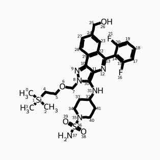 C[Si](C)(C)CCOCn1nc2c(nc(-c3c(F)cccc3F)c3cc(CO)ccc32)c1NC1CCN(S(N)(=O)=O)CC1